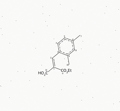 CCOC(=O)/C(=C\c1ccc(C)cc1C)C(=O)O